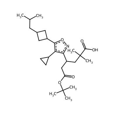 CC(C)CC1CC(c2onc(C(CC(=O)OC(C)(C)C)CC(C)(C)C(=O)O)c2C2CC2)C1